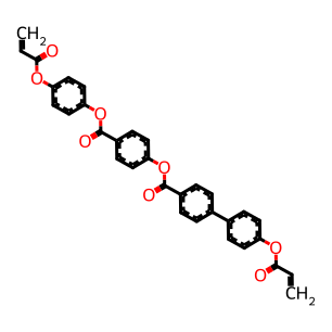 C=CC(=O)Oc1ccc(OC(=O)c2ccc(OC(=O)c3ccc(-c4ccc(OC(=O)C=C)cc4)cc3)cc2)cc1